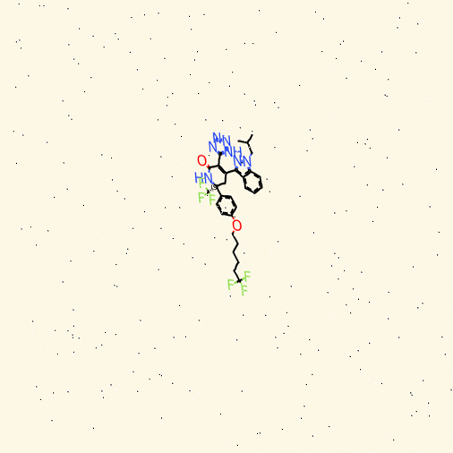 CC(C)Cn1nc(C2=C(c3nnn[nH]3)C(=O)N[C@@](c3ccc(OCCCCCC(F)(F)F)cc3)(C(F)(F)F)C2)c2ccccc21